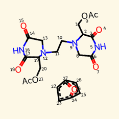 CC(=O)OCC1C(=O)NC(=O)CN1CCN1CC(=O)NC(=O)C1COC(C)=O.c1cc2ccc1o2